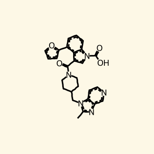 Cc1nc2cnccc2n1CC1CCN(C(=O)c2cn(C(=O)O)c3cccc(-c4ccco4)c23)CC1